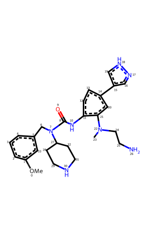 COc1cccc(CN(C(=O)Nc2ccc(-c3cn[nH]c3)cc2N(C)CCN)C2CCNCC2)c1